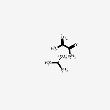 C=C(C)C(N)=O.C[C@@H](N)C(=O)O